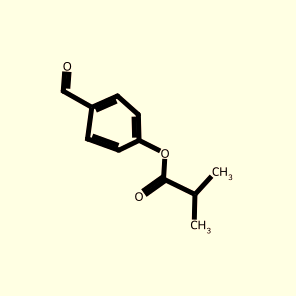 CC(C)C(=O)Oc1ccc(C=O)cc1